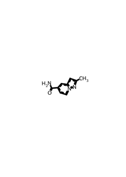 Cc1cc2cc(C(N)=O)ccn2n1